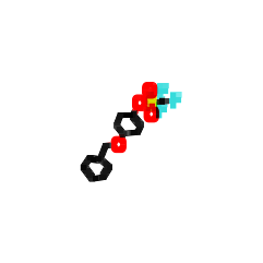 O=S(=O)(OC1=CCC(OCc2ccccc2)CC1)C(F)(F)F